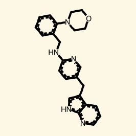 c1ccc(N2CCOCC2)c(CNc2ccc(Cc3c[nH]c4ncccc34)cn2)c1